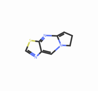 C1=C2N=c3scnc3=CN2CC1